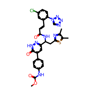 COC(=O)Nc1ccc(-c2cc(C(Cc3nc(C)c(C)s3)NC(=O)/C=C/c3cc(Cl)ccc3-n3cnnn3)n[nH]c2=O)cc1